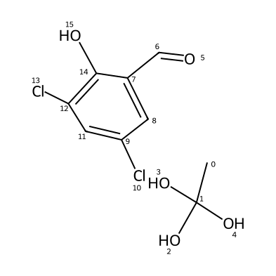 CC(O)(O)O.O=Cc1cc(Cl)cc(Cl)c1O